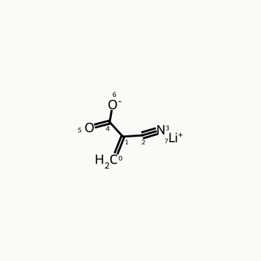 C=C(C#N)C(=O)[O-].[Li+]